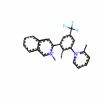 Cc1c(-c2cc3ccccc3c[n+]2C)cc(C(F)(F)F)cc1-[n+]1ccccc1C